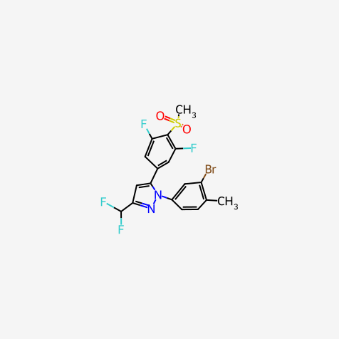 Cc1ccc(-n2nc(C(F)F)cc2-c2cc(F)c(S(C)(=O)=O)c(F)c2)cc1Br